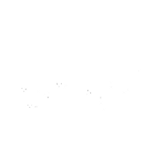 CO[Si](CCCNC(=O)c1c(F)c(F)c(F)c(F)c1F)(OC)OC